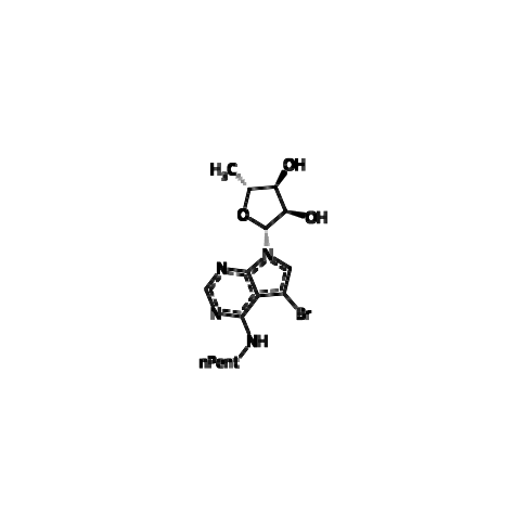 CCCCCNc1ncnc2c1c(Br)cn2[C@@H]1O[C@H](C)[C@@H](O)[C@H]1O